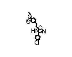 CCOc1ccc(CCC(=O)NC(C#N)c2ccc(Cl)cc2)cc1OC